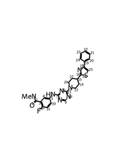 CNC(=O)c1cc(Nc2ncnc(N3CCC(c4nc(-c5ccccc5)cs4)CC3)n2)ccc1F